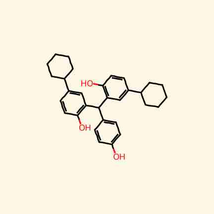 Oc1ccc(C(c2cc(C3CCCCC3)ccc2O)c2cc(C3CCCCC3)ccc2O)cc1